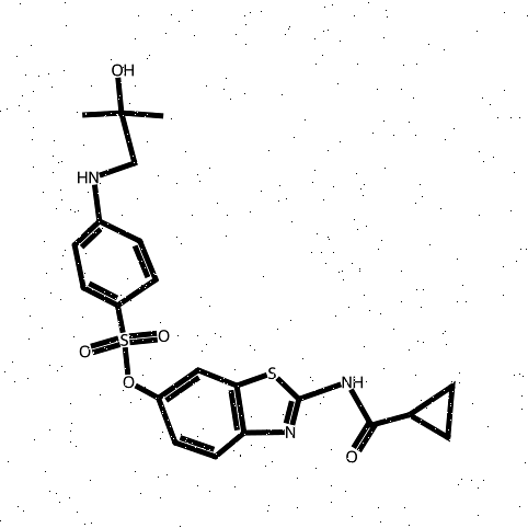 CC(C)(O)CNc1ccc(S(=O)(=O)Oc2ccc3nc(NC(=O)C4CC4)sc3c2)cc1